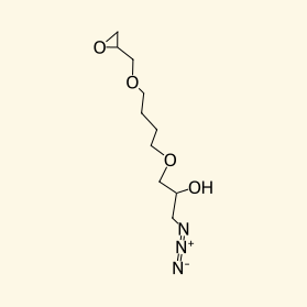 [N-]=[N+]=NCC(O)COCCCCOCC1CO1